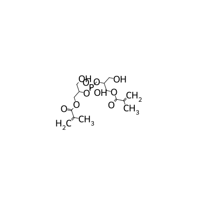 C=C(C)C(=O)OCC(CO)OP(=O)(O)OC(CO)COC(=O)C(=C)C